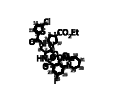 CCOC(=O)[C@H]1CCN(C(=O)[C@H](CNC(=O)c2ccc(Cl)s2)NS(=O)(=O)c2cc(F)cc(N3CCCCC3=O)c2OC)C1